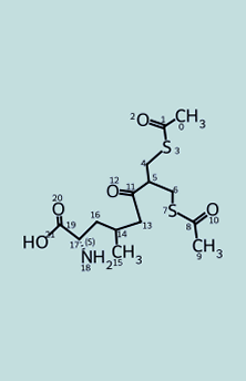 CC(=O)SCC(CSC(C)=O)C(=O)CC(C)C[C@H](N)C(=O)O